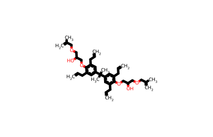 C=CCc1cc(C(C)(C)c2cc(CC=C)c(OCC(O)COCC(=C)C)c(CC=C)c2)cc(CC=C)c1OCC(O)COCC(=C)C